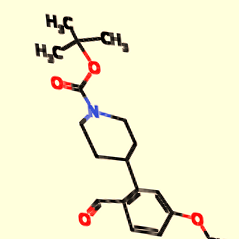 COc1ccc(C=O)c(C2CCN(C(=O)OC(C)(C)C)CC2)c1